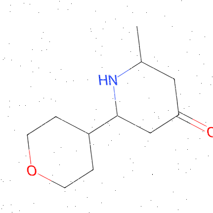 CC1CC(=O)CC(C2CCOCC2)N1